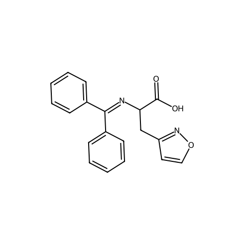 O=C(O)C(Cc1ccon1)N=C(c1ccccc1)c1ccccc1